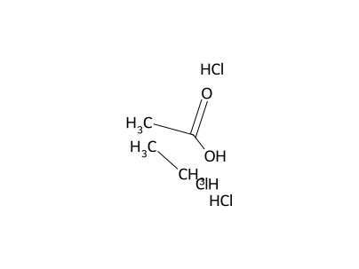 CC.CC(=O)O.Cl.Cl.Cl